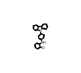 Clc1ccccc1Nc1ccc(-n2c3ccccc3c3ccccc32)cc1